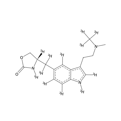 [2H]c1c(C([2H])([2H])[C@@]2([2H])COC(=O)N2[2H])c([2H])c2c(CCN(C)C([2H])([2H])[2H])c([2H])n([2H])c2c1[2H]